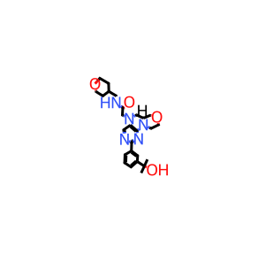 CC(C)(O)c1cccc(-c2ncc3c(n2)N2CCOC[C@H]2CN3CC(=O)NCC2CCOCC2)c1